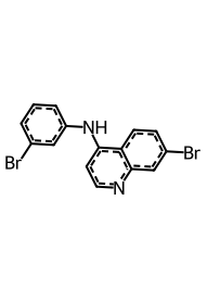 Brc1cccc(Nc2ccnc3cc(Br)ccc23)c1